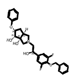 O[C@@H]1[C@H](Oc2ccccc2)C[C@H]2CN(C[C@H](O)c3cc(F)c(OCc4ccccc4)c(F)c3)C[C@]21O